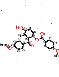 CCCCCOc1ccc(C(=O)Oc2ccc(O)c(C)c2C(=O)c2ccc(OCCCCC)cc2)cc1